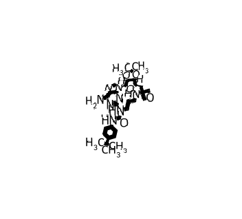 CC1(C)O[C@@H]2[C@H](O1)[C@@H](CC1(NCCCNC(=O)Nc3ccc(C(C)(C)C)cc3)COC1)O[C@H]2n1cnc2c(N)ncnc21